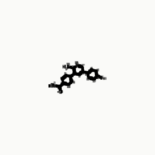 CCCCC(=O)c1ccc(-c2cc(-c3ccc(F)cc3)cnc2N)cc1